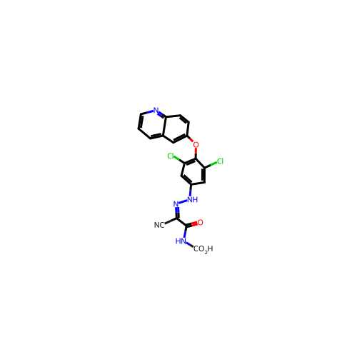 N#CC(=NNc1cc(Cl)c(Oc2ccc3ncccc3c2)c(Cl)c1)C(=O)NC(=O)O